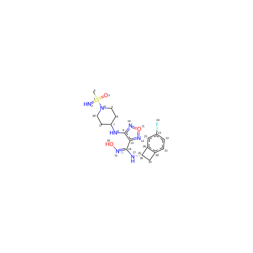 CS(=N)(=O)N1CCC(Nc2nonc2/C(=N\O)N[C@H]2Cc3ccc(F)cc32)CC1